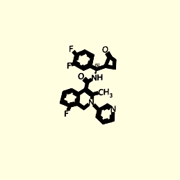 CC1=C(C(=O)N[C@H](c2ccc(F)c(F)c2)C2CCC2=O)c2cccc(F)c2CN1c1cccnc1